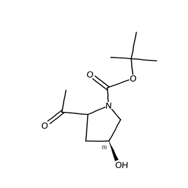 CC(=O)C1C[C@H](O)CN1C(=O)OC(C)(C)C